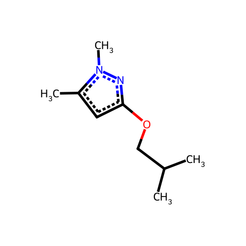 Cc1cc(OCC(C)C)nn1C